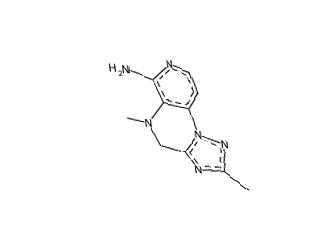 Cc1nc2n(n1)-c1ccnc(N)c1N(C)C2